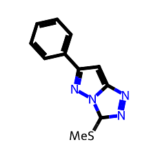 CSC1N=Nc2cc(-c3ccccc3)nn21